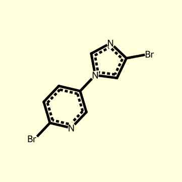 Brc1ccc(-n2cnc(Br)c2)cn1